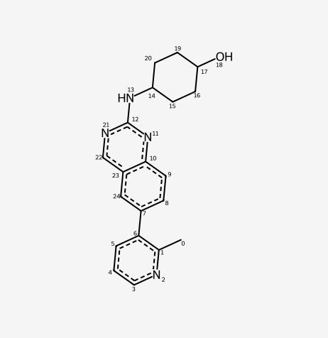 Cc1ncccc1-c1ccc2nc(NC3CCC(O)CC3)ncc2c1